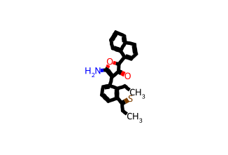 CCC(=S)c1cccc(C2=C(N)OC(c3cccc4ccccc34)C2=O)c1CC